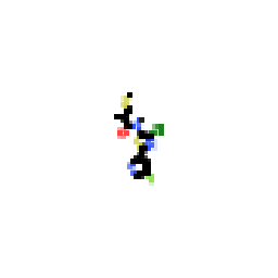 CSCC(C)C(=O)N(C)c1sc(-c2cncc(F)c2)nc1Cl